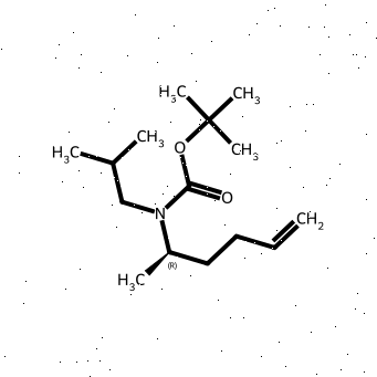 C=CCC[C@@H](C)N(CC(C)C)C(=O)OC(C)(C)C